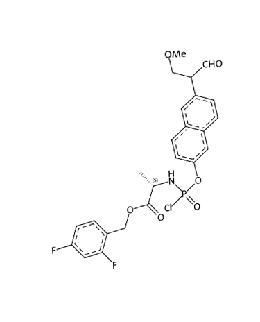 COCC(C=O)c1ccc2cc(OP(=O)(Cl)N[C@@H](C)C(=O)OCc3ccc(F)cc3F)ccc2c1